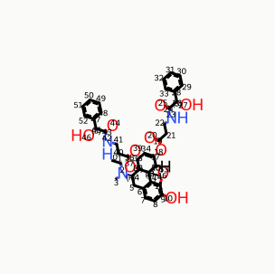 CCN(C)[C@@H]1Cc2ccc(O)c3c2[C@@]2(C)[C@@H](O3)C(OC(=O)CCNC(=O)[C@@H](O)c3ccccc3)=CC[C@@]12OC(=O)CCNC(=O)[C@@H](O)c1ccccc1